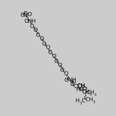 CC(C)CCC[C@@H](C)[C@H]1CC[C@H]2[C@@H]3CC=C4CC(OC(=O)CNC(=O)CCOCCOCCOCCOCCOCCOCCOCCOCCOCCOCCOCCOCCNC(=O)CCN5C(=O)C=CC5=O)CC[C@]4(C)[C@H]3CC[C@]12C